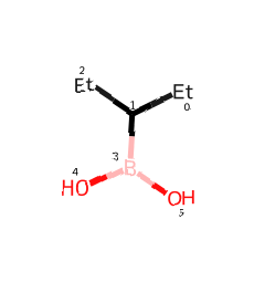 CCC(CC)B(O)O